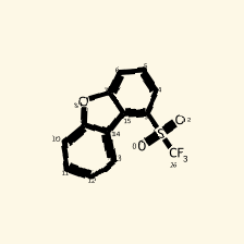 O=S(=O)(c1cccc2oc3ccccc3c12)C(F)(F)F